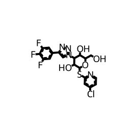 OCC1OC(Sc2cc(Cl)ccn2)C(O)C(n2cc(-c3cc(F)c(F)c(F)c3)nn2)C1O